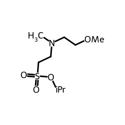 COCCN(C)CCS(=O)(=O)OC(C)C